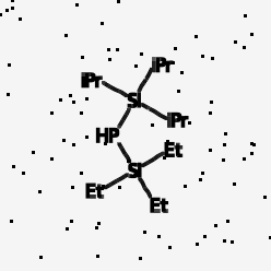 CC[Si](CC)(CC)P[Si](C(C)C)(C(C)C)C(C)C